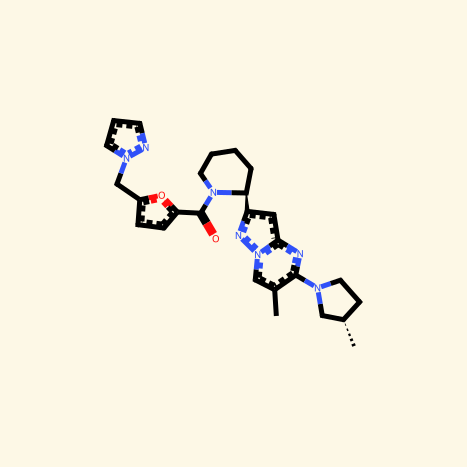 Cc1cn2nc([C@@H]3CCCCN3C(=O)c3ccc(Cn4cccn4)o3)cc2nc1N1CC[C@H](C)C1